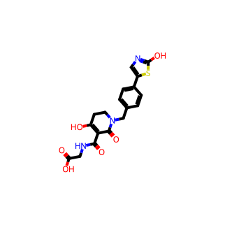 O=C(O)CNC(=O)C1=C(O)CCN(Cc2ccc(-c3cnc(O)s3)cc2)C1=O